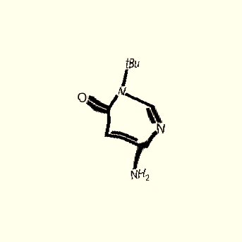 CC(C)(C)n1cnc(N)cc1=O